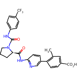 Cc1cc(C(=O)O)ccc1-c1ccc(NC(=O)[C@H]2CCCN2C(=O)Nc2ccc(C(F)(F)F)cc2)nc1